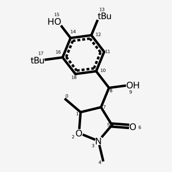 CC1ON(C)C(=O)C1C(O)c1cc(C(C)(C)C)c(O)c(C(C)(C)C)c1